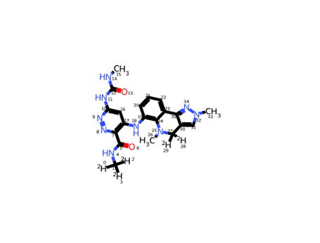 [2H]C([2H])([2H])NC(=O)c1nnc(NC(=O)NC)cc1Nc1cccc2c1N(C)C([2H])([2H])c1cn(C)nc1-2